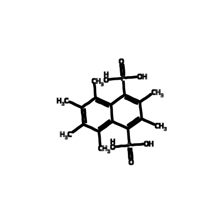 Cc1c(C)c(C)c2c(P(=O)(O)O)c(C)c(C)c(P(=O)(O)O)c2c1C